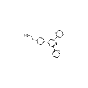 SCCc1ccc(-c2cc(-c3ccccn3)nc(-c3ccccn3)c2)cc1